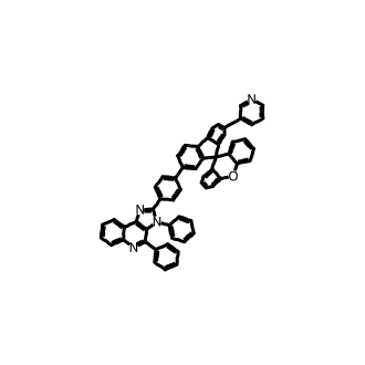 c1ccc(-c2nc3ccccc3c3nc(-c4ccc(-c5ccc6c(c5)C5(c7ccccc7Oc7ccccc75)c5cc(-c7cccnc7)ccc5-6)cc4)n(-c4ccccc4)c23)cc1